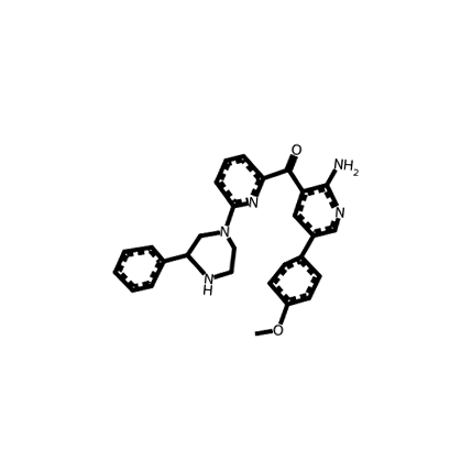 COc1ccc(-c2cnc(N)c(C(=O)c3cccc(N4CCNC(c5ccccc5)C4)n3)c2)cc1